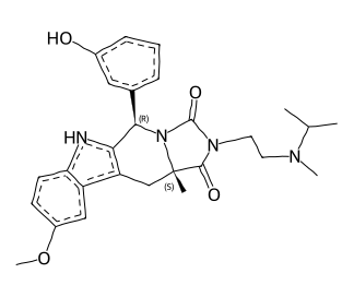 COc1ccc2[nH]c3c(c2c1)C[C@@]1(C)C(=O)N(CCN(C)C(C)C)C(=O)N1[C@@H]3c1cccc(O)c1